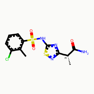 Cc1c(Cl)cccc1S(=O)(=O)Nc1nc([C@@H](C)C(N)=O)ns1